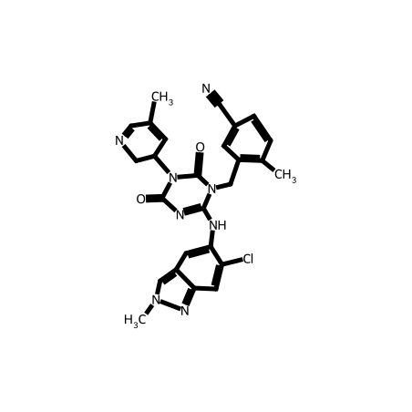 CC1=CC(n2c(=O)nc(Nc3cc4cn(C)nc4cc3Cl)n(Cc3cc(C#N)ccc3C)c2=O)CN=C1